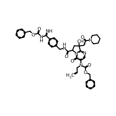 C=CCN(C(=O)OCc1ccccc1)c1cnc2n(c1=O)C(C(=O)NCc1ccc(C(=N)NC(=O)OCc3ccccc3)cc1)CC2(C)CC(=O)N1CCCCC1